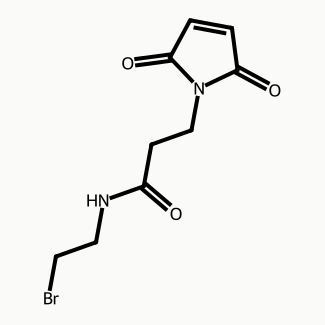 O=C(CCN1C(=O)C=CC1=O)NCCBr